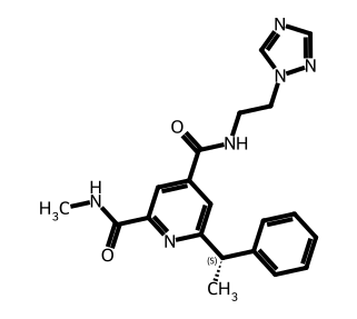 CNC(=O)c1cc(C(=O)NCCn2cncn2)cc([C@@H](C)c2ccccc2)n1